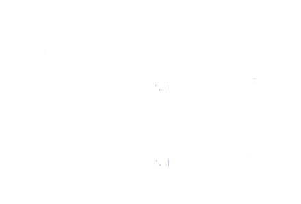 Bc1ccc2[nH]c3c(c2c1)CCNC3c1cccc(C(F)(F)F)c1